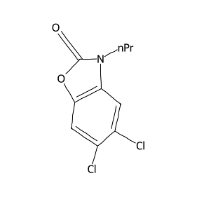 CCCn1c(=O)oc2cc(Cl)c(Cl)cc21